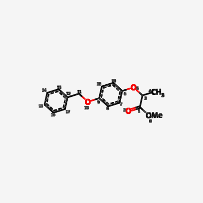 COC(=O)C(C)Oc1ccc(OCc2ccccc2)cc1